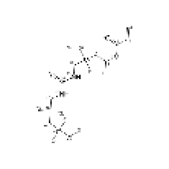 C=CC(=O)OC(C)CC(C)(CC)CNC(=O)NCC(C)(C)CC(C)(C)CC